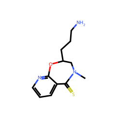 CN1CC(CCCN)Oc2ncccc2C1=S